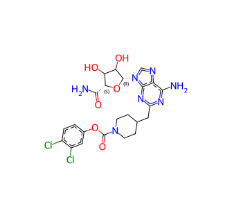 NC(=O)[C@H]1O[C@@H](n2cnc3c(N)nc(CC4CCN(C(=O)Oc5ccc(Cl)c(Cl)c5)CC4)nc32)C(O)C1O